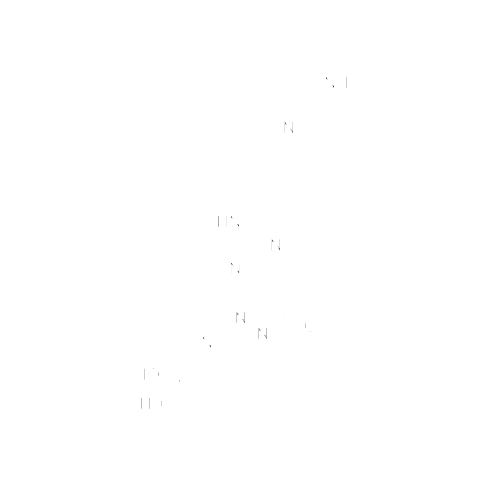 CC1(O)CC/C=C\Cn2c(=O)c3cnc(Nc4ccc(N5CCCNCC5)cc4)nc3n2-c2cccc1n2